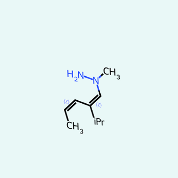 C/C=C\C(=C/N(C)N)C(C)C